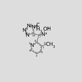 Cc1cccnc1C(=NO)c1nnnn1C